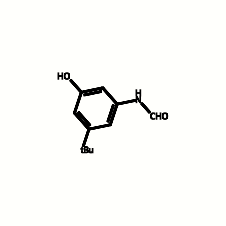 CC(C)(C)c1cc(O)cc(NC=O)c1